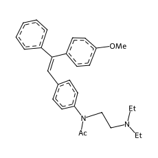 CCN(CC)CCN(C(C)=O)c1ccc(C=C(c2ccccc2)c2ccc(OC)cc2)cc1